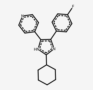 Fc1ccc(-c2nc(C3CCCCC3)[nH]c2-c2ccncc2)cc1